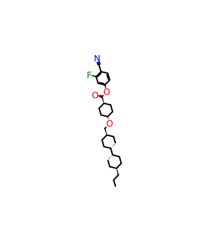 CCC[C@H]1CC[C@H]([C@H]2CC[C@H](CO[C@H]3CC[C@H](C(=O)Oc4ccc(C#N)c(F)c4)CC3)CC2)CC1